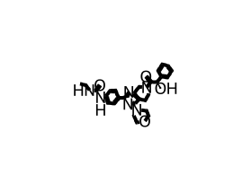 CCNC(=O)Nc1ccc(-c2nc3c(c(N4CCOCC4)n2)CCN(C(=O)[C@H](O)c2ccccc2)C3)cc1